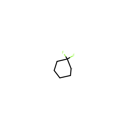 FC1(F)[CH]CCCC1